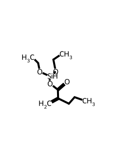 C=C(CCC)C(=O)O[SiH](OCC)OCC